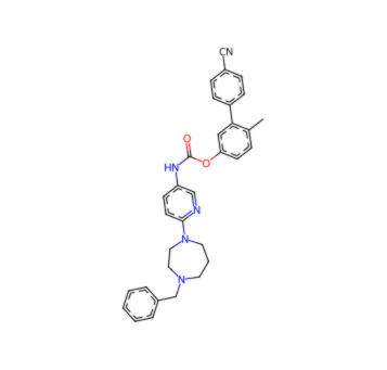 Cc1ccc(OC(=O)Nc2ccc(N3CCCN(Cc4ccccc4)CC3)nc2)cc1-c1ccc(C#N)cc1